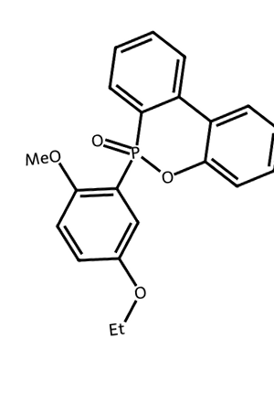 CCOc1ccc(OC)c(P2(=O)Oc3ccccc3-c3ccccc32)c1